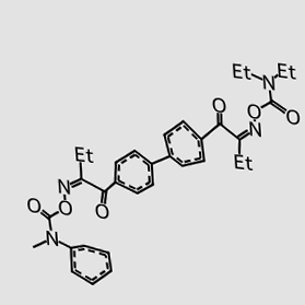 CC/C(=N/OC(=O)N(CC)CC)C(=O)c1ccc(-c2ccc(C(=O)/C(CC)=N\OC(=O)N(C)c3ccccc3)cc2)cc1